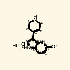 Cl.Cl.O=c1ccc2[nH]cc(C3=CCNCC3)c2[nH]1